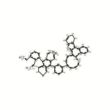 C=Cc1cccc(-c2c(C=C)c(C=C)c(-c3cccc(-c4cccoc5c6ccccc6c6c7c(oc6c5cc4)C=CCC7)c3)c3c2=CCCC=3)c1C=C